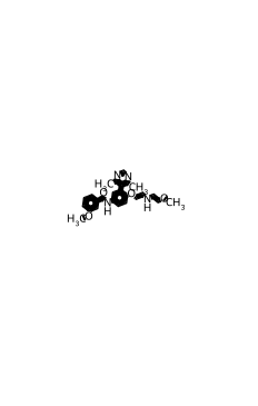 COCCNCCOc1ccc(NC(=O)c2cccc(OC)c2)cc1-c1c(C)ncnc1C